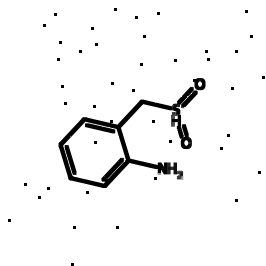 Nc1ccccc1C[SH](=O)=O